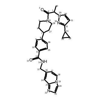 CC(C(=O)N1CCC(c2ccc(C(=O)NCc3ccn4ccnc4c3)cc2)CC1)n1ccc(C2CC2)n1